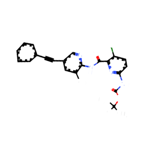 Cc1cc(C#Cc2ccccc2)cnc1NC(=O)c1nc(NC(=O)OC(C)(C)C)ccc1Cl